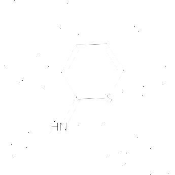 N=c1ccccs1